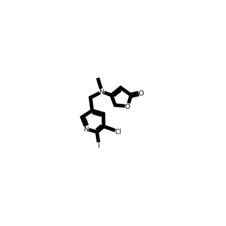 CN(Cc1cnc(I)c(Cl)c1)C1=CC(=O)OC1